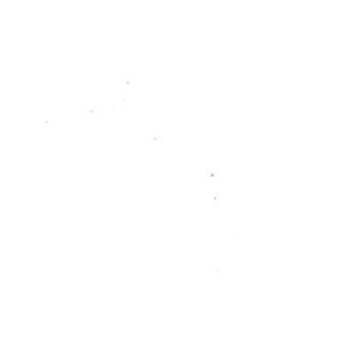 O=C(NC1C=C(Cl)C=CC1C(=O)O)c1ccc2c(c1)C(=O)N(c1ccccc1-c1ccccc1)C2=O